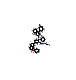 C=C/C=C\C=C/Cc1cc(-c2ccc3ccc4oc5ccccc5c4c3c2)ccc1N(c1ccccc1)c1cc(-c2ccccc2)c2ccccc2c1